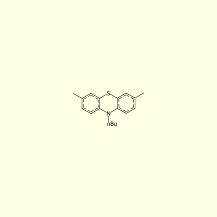 CCCCN1c2ccc(C)cc2Sc2cc(C)ccc21